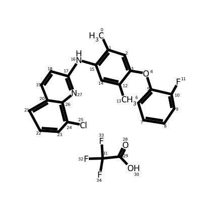 Cc1cc(Oc2ccccc2F)c(C)cc1Nc1ccc2cccc(Cl)c2n1.O=C(O)C(F)(F)F